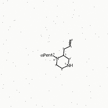 C=CCC1CNCCN1[CH]CCCC